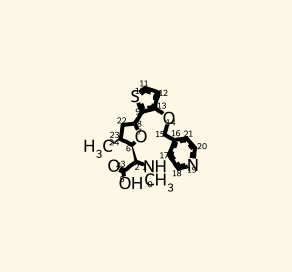 CNC(C(=O)O)[C@@H]1OC(c2sccc2OCc2ccncc2)C[C@H]1C